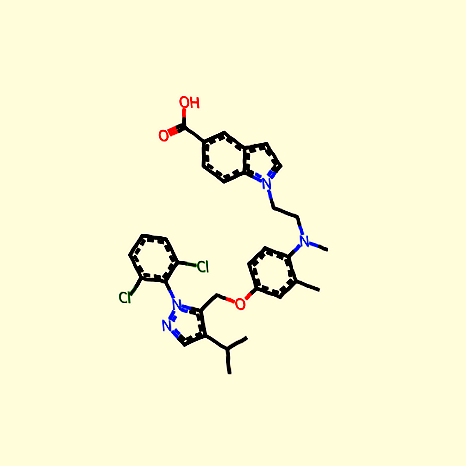 Cc1cc(OCc2c(C(C)C)cnn2-c2c(Cl)cccc2Cl)ccc1N(C)CCn1ccc2cc(C(=O)O)ccc21